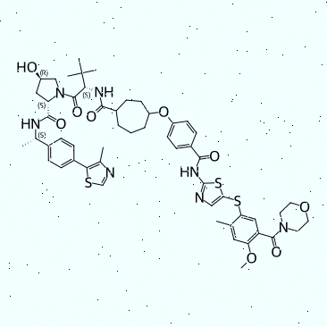 COc1cc(C)c(Sc2cnc(NC(=O)c3ccc(OC4CCCC(C(=O)N[C@H](C(=O)N5C[C@H](O)C[C@H]5C(=O)N[C@@H](C)c5ccc(-c6scnc6C)cc5)C(C)(C)C)CC4)cc3)s2)cc1C(=O)N1CCOCC1